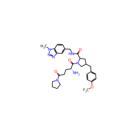 Cn1nnc2cc(CNC(=O)C3CC(Cc4ccc(OC(F)(F)F)cc4)CN3C(=O)[C@H](N)CCC(=O)N3CCCC3)ccc21